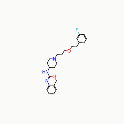 Fc1cccc(CCOCCCN2CCC(NC3=Nc4ccccc4CO3)CC2)c1